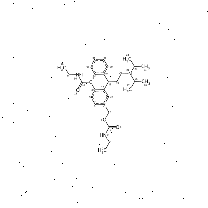 CCNC(=O)OCc1ccc(OC(=O)NCC)c(C(CCN(C(C)C)C(C)C)c2ccccc2)c1